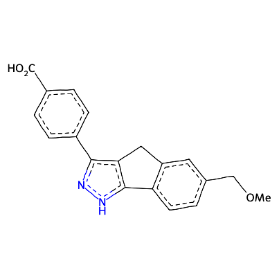 COCc1ccc2c(c1)Cc1c(-c3ccc(C(=O)O)cc3)n[nH]c1-2